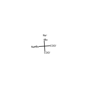 CCCCC(C(=O)[O-])(C(=O)[O-])C(C)(C)C.[Na+].[Na+]